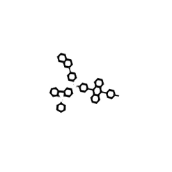 Cc1ccc(-c2c3ccccc3c(-c3ccc(N(c4ccc(-c5ccc6ccccc6c5)cc4)c4ccc5c(c4)c4ccccc4n5-c4ccccc4)cc3)c3ccccc23)cc1